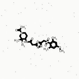 COc1cc(C)c(S(=O)(=O)Cc2nnc(CC(=O)NC3CCN(C(C)=O)CC3(C)C)o2)c(C)c1